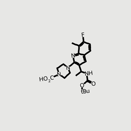 Cc1c(F)ccc2cc(C(C)NC(=O)OC(C)(C)C)c(N3CCN(C(=O)O)CC3)nc12